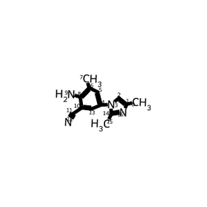 Cc1cn(-c2cc(C)c(N)c(C#N)c2)c(C)n1